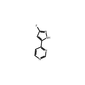 Fc1cc(-c2ccncn2)[nH]n1